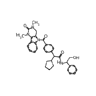 CN1Cc2c(c3ccccc3n2C(=O)c2ccc(C(C(=O)NC(CO)c3ccccc3)C3CCCC3)cc2)N(C)C1=O